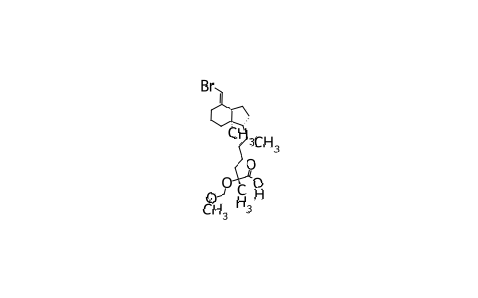 COCO[C@](C)(CCC[C@@H](C)[C@H]1CCC2C(=CBr)CCC[C@@]21C)C(=O)O